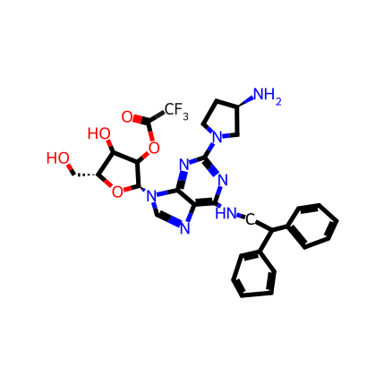 N[C@@H]1CCN(c2nc(NCC(c3ccccc3)c3ccccc3)c3ncn([C@@H]4O[C@H](CO)C(O)C4OC(=O)C(F)(F)F)c3n2)C1